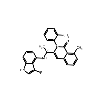 Cc1ccccc1-n1c([C@H](C)Nc2ncnc3[nH]cc(F)c23)cc2cccc(C)c2c1=O